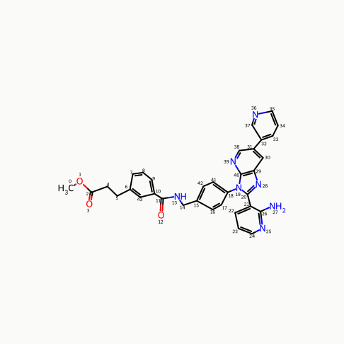 COC(=O)CCc1cccc(C(=O)NCc2ccc(-n3c(-c4cccnc4N)nc4cc(-c5cccnc5)cnc43)cc2)c1